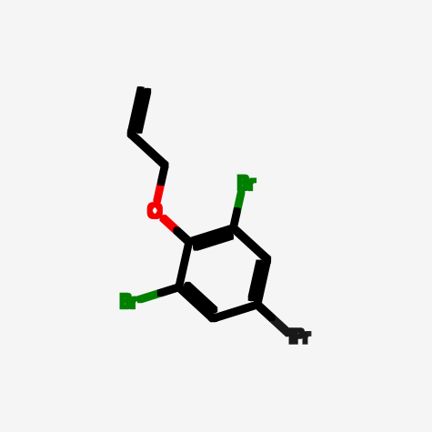 C=CCOc1c(Br)cc(C(C)C)cc1Br